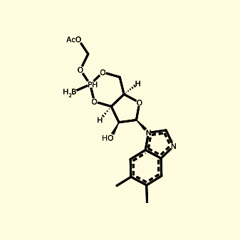 B[PH]1(OCOC(C)=O)OC[C@H]2O[C@@H](n3cnc4cc(C)c(C)cc43)[C@@H](O)[C@H]2O1